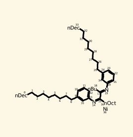 CCCCCCCCCCCCCCCCCCc1cccc(/N=C(CCCCCCCC)\C(CCCC)=N\c2cccc(CCCCCCCCCCCCCCCCCC)c2)c1.[Ni]